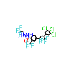 O=C(NNCC(F)(F)F)c1ccc(/C(F)=C/C(c2cc(Cl)c(Cl)c(Cl)c2)C(F)(F)F)cc1C(F)(F)F